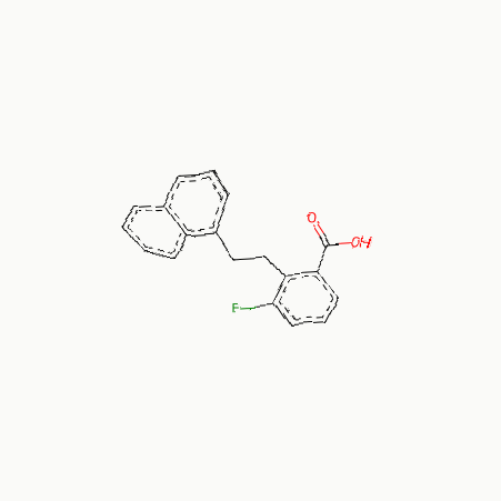 O=C(O)c1cccc(F)c1CCc1cccc2ccccc12